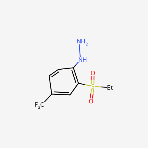 CCS(=O)(=O)c1cc(C(F)(F)F)ccc1NN